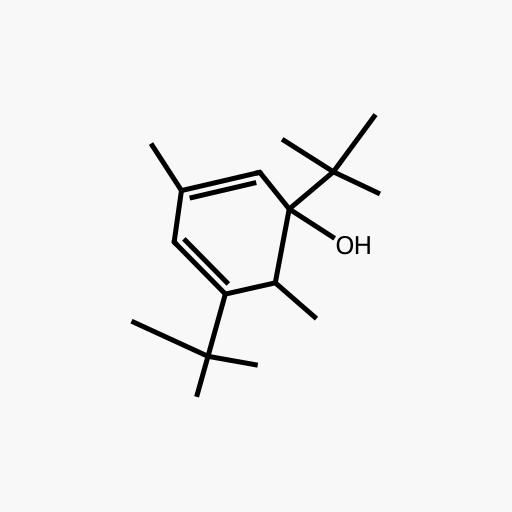 CC1=CC(O)(C(C)(C)C)C(C)C(C(C)(C)C)=C1